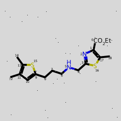 CCOC(=O)c1nc(CNCCCc2cc(C)c(C)s2)sc1C